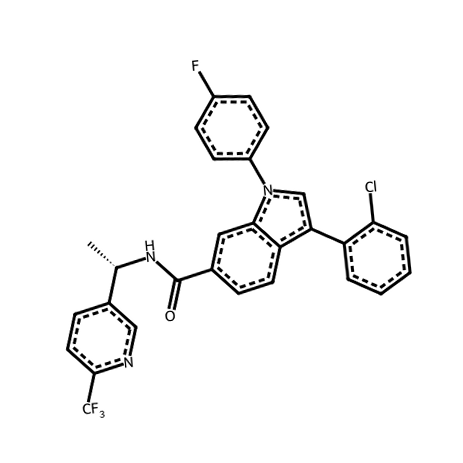 C[C@H](NC(=O)c1ccc2c(-c3ccccc3Cl)cn(-c3ccc(F)cc3)c2c1)c1ccc(C(F)(F)F)nc1